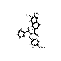 COc1cnc(CN(C(=O)c2ccc3nc(N)c(C)cc3c2)C(C)c2ncccn2)cn1